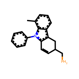 Cc1cccc2c3c(n(-c4ccccc4)c12)C=CC(CP)C3